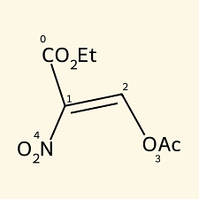 CCOC(=O)C(=COC(C)=O)[N+](=O)[O-]